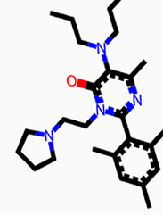 CCCN(CCC)c1c(C)nc(-c2c(C)cc(C)cc2C)n(CCN2CCCC2)c1=O